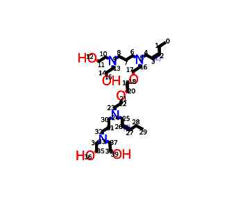 CC/C=C\CN(CCCN(CCO)CCO)CCOCCOCCN(C/C=C\CC)CCCN(CCO)CCO